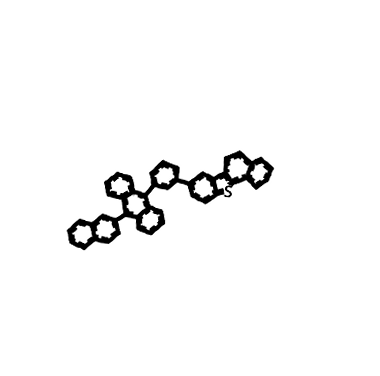 c1cc(-c2ccc3sc4c5ccccc5ccc4c3c2)cc(-c2c3ccccc3c(-c3ccc4ccccc4c3)c3ccccc23)c1